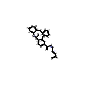 C=C(C)/C=C/C=C\C(=C)c1ccc2c(c1)-c1ccccc1Cc1ccccc1/N=C/2C